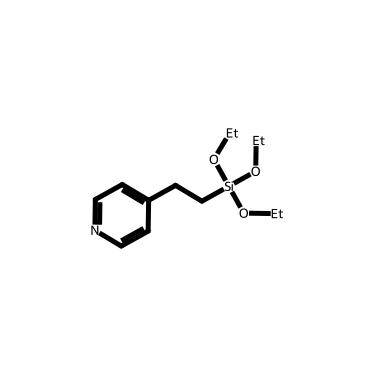 CCO[Si](CCc1ccncc1)(OCC)OCC